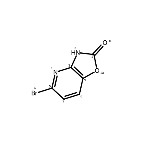 O=c1[nH]c2nc(Br)ccc2o1